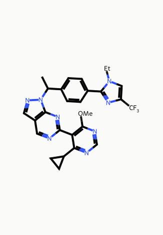 CCn1cc(C(F)(F)F)nc1-c1ccc(C(C)n2ncc3cnc(-c4c(OC)ncnc4C4CC4)nc32)cc1